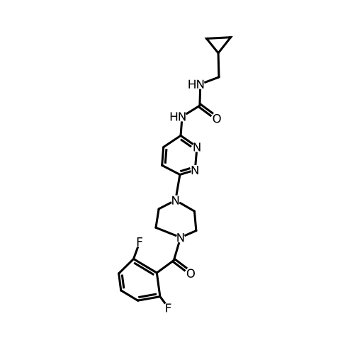 O=C(NCC1CC1)Nc1ccc(N2CCN(C(=O)c3c(F)cccc3F)CC2)nn1